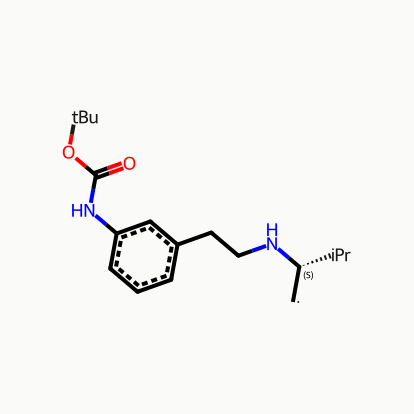 [CH2]C(C)[C@H]([CH2])NCCc1cccc(NC(=O)OC(C)(C)C)c1